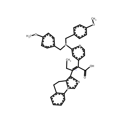 CC/C(=C(/C(=O)O)c1ccnc(N(Cc2ccc(OC)cc2)Cc2ccc(OC)cc2)c1)c1ncn2c1CCc1ccccc1-2